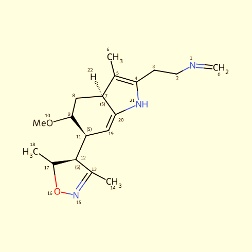 C=NCCC1=C(C)[C@@H]2CC(OC)[C@H]([C@H]3C(C)=NOC3C)C=C2N1